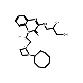 CC[C@@H](C[C@@H]1CCN1C1CCCCCCC1)n1c(=O)c(NCC(O)CO)nc2ccccc21